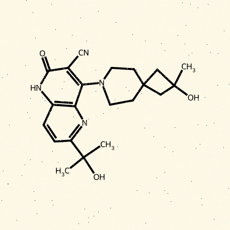 CC1(O)CC2(CCN(c3c(C#N)c(=O)[nH]c4ccc(C(C)(C)O)nc34)CC2)C1